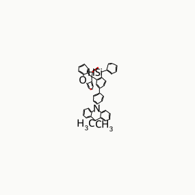 CC1(C)c2ccccc2N(c2ccc(-c3ccc4c(c3)C3(c5ccccc5Oc5ccccc53)c3ccccc3[SiH]4c3ccccc3)cc2)c2ccccc21